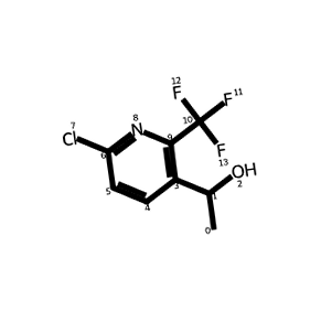 CC(O)c1ccc(Cl)nc1C(F)(F)F